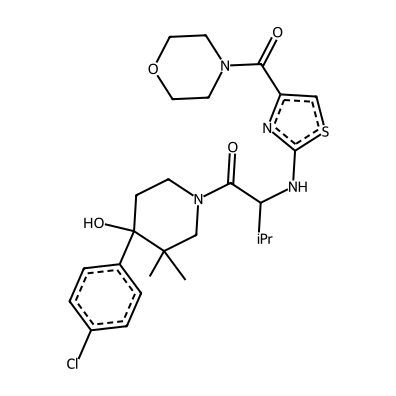 CC(C)C(Nc1nc(C(=O)N2CCOCC2)cs1)C(=O)N1CCC(O)(c2ccc(Cl)cc2)C(C)(C)C1